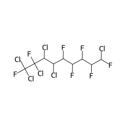 FC(Cl)C(F)C(F)C(F)C(F)C(Cl)C(Cl)C(F)(Cl)C(F)(Cl)Cl